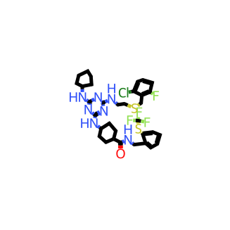 O=C(NCc1ccccc1SC(F)(F)F)C1CCC(Nc2nc(NCCSCc3c(F)cccc3Cl)nc(NC3CCCCC3)n2)CC1